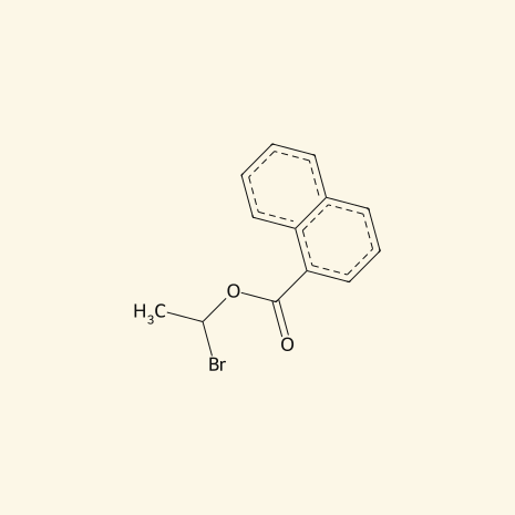 CC(Br)OC(=O)c1cccc2ccccc12